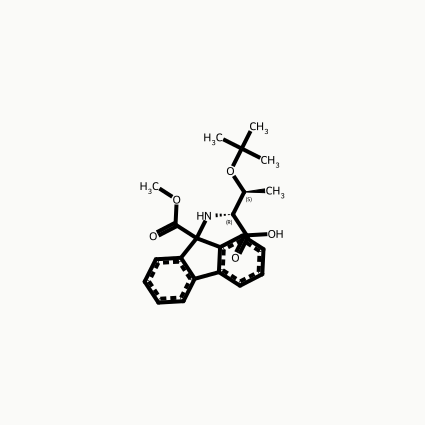 COC(=O)C1(N[C@@H](C(=O)O)[C@H](C)OC(C)(C)C)c2ccccc2-c2ccccc21